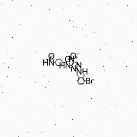 CC(=O)NC1CCC(CNc2nc(NCc3cccc(Br)c3C)ncc2[N+](=O)[O-])CC1